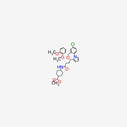 COC(=O)C1CCC(NC(=O)CC[C@H]2O[C@H](c3cccc(OC)c3OC)c3cc(Cl)ccc3-n3cccc32)CC1